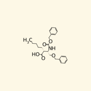 CCCCC[C@@H](C(=O)O)[C@@H](COCc1ccccc1)NC(=O)OCc1ccccc1